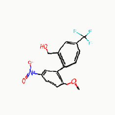 COc1ccc([N+](=O)[O-])cc1-c1ccc(C(F)(F)F)cc1CO